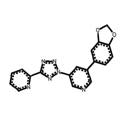 c1ccc(-c2nnn(-c3cncc(-c4ccc5c(c4)OCO5)c3)n2)nc1